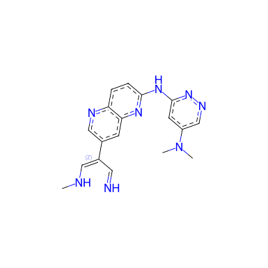 CN/C=C(\C=N)c1cnc2ccc(Nc3cc(N(C)C)cnn3)nc2c1